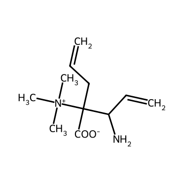 C=CCC(C(=O)[O-])(C(N)C=C)[N+](C)(C)C